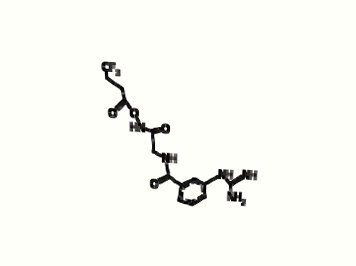 N=C(N)Nc1cccc(C(=O)NCC(=O)NOC(=O)CCC(F)(F)F)c1